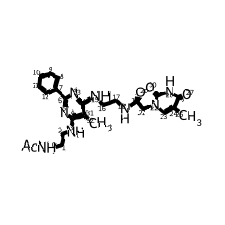 CC(=O)NCCNc1nc(-c2ccccc2)nc(NCCNC(=O)Cn2cc(C)c(=O)[nH]c2=O)c1C